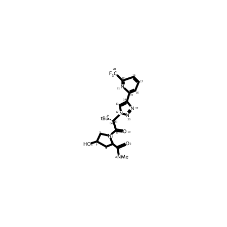 CNC(=O)C1CC(O)CN1C(=O)[C@@H](n1cc(-c2cccc(C(F)(F)F)n2)nn1)C(C)(C)C